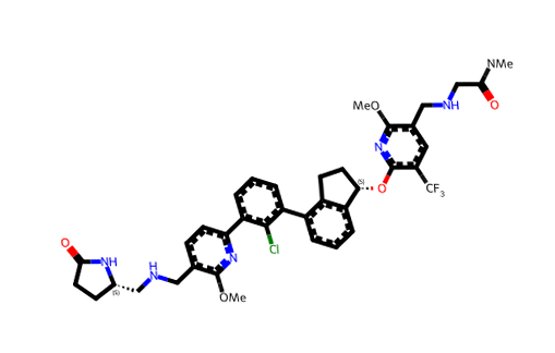 CNC(=O)CNCc1cc(C(F)(F)F)c(O[C@H]2CCc3c(-c4cccc(-c5ccc(CNC[C@@H]6CCC(=O)N6)c(OC)n5)c4Cl)cccc32)nc1OC